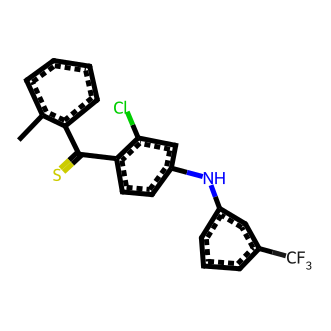 Cc1ccccc1C(=S)c1ccc(Nc2cccc(C(F)(F)F)c2)cc1Cl